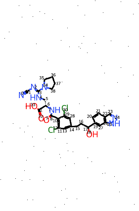 N#C/N=C(\NC[C@H](NC(=O)c1c(Cl)cc(CCC(O)c2ccc3cn[nH]c3c2)cc1Cl)C(=O)O)N1CCCC1